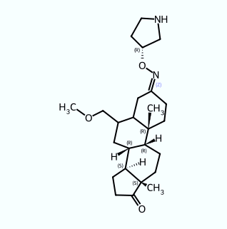 COCC1C[C@@H]2[C@@H](CC[C@]3(C)C(=O)CC[C@@H]23)[C@@]2(C)CC/C(=N/O[C@@H]3CCNC3)CC12